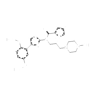 COc1ccc(OC)c(-c2csc(N(CCCN3CCN(C)CC3)C(=O)c3cccs3)n2)c1